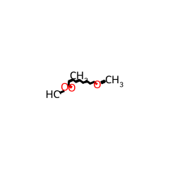 C#CCOC(=O)C=C(C)C=CCCCCOC#CC